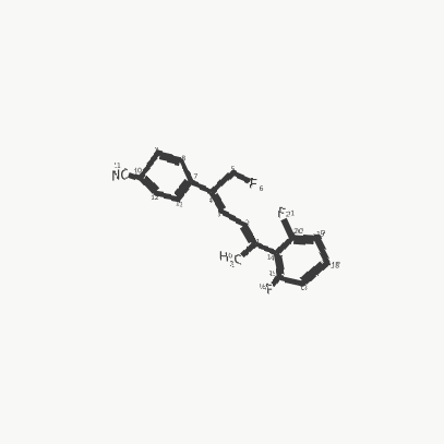 C/C(=C\C=C(/CF)c1ccc(C#N)cc1)c1c(F)cccc1F